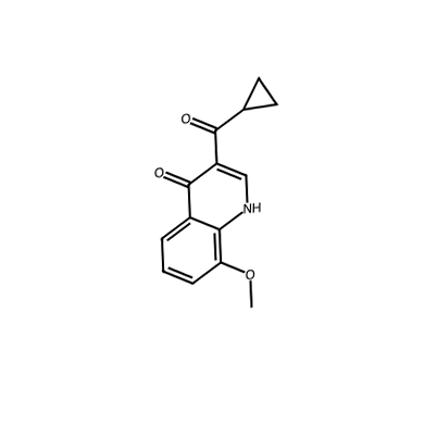 COc1cccc2c(=O)c(C(=O)C3CC3)c[nH]c12